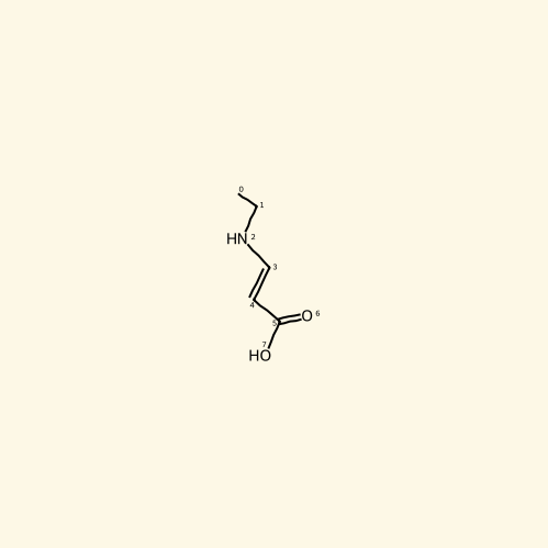 CCNC=CC(=O)O